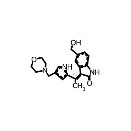 C/C(=C1\C(=O)Nc2ccc(CO)cc21)c1cc(CN2CCOCC2)c[nH]1